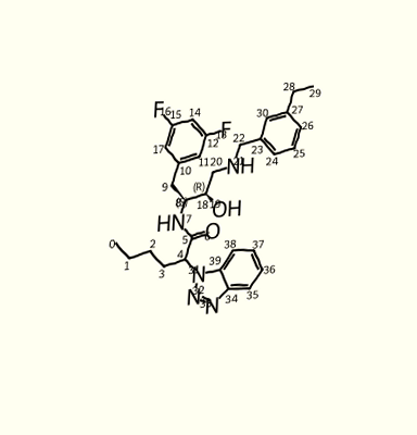 CCCCC(C(=O)N[C@@H](Cc1cc(F)cc(F)c1)[C@H](O)CNCc1cccc(CC)c1)n1nnc2ccccc21